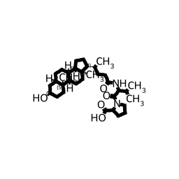 CC(C)C(NC(=O)CCC(C)[C@H]1CC[C@H]2[C@@H]3CC[C@@H]4C[C@H](O)CC[C@]4(C)[C@H]3CC[C@]12C)C(=O)N1CCCC1C(=O)O